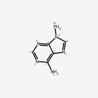 Nc1ncnc2c1ncn2P